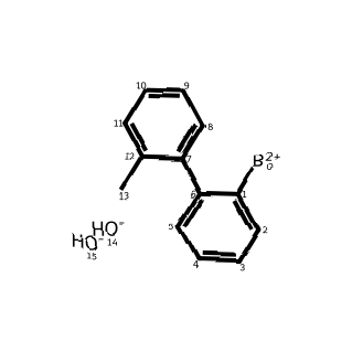 [B+2]c1ccccc1-c1ccccc1C.[OH-].[OH-]